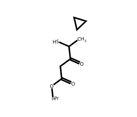 C1CC1.CCCOC(=O)CC(=O)C(C)S